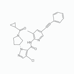 Cc1cc(C#Cc2ccccc2)cnc1NC(=O)c1c(Cl)cnn1[C@@H]1CCN(C(=O)C2CC2)C1